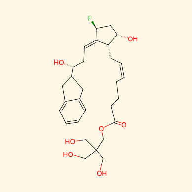 O=C(CCC/C=C\C[C@@H]1/C(=C\C[C@@H](O)C2Cc3ccccc3C2)[C@@H](F)C[C@@H]1O)OCC(CO)(CO)CO